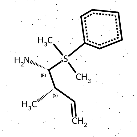 C=C[C@H](C)[C@H](N)S(C)(C)c1ccccc1